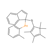 CC1=C(C)C(C)(C)[C]([Ti][C]2(Pc3ccccc3C)C=Cc3ccccc32)=C1C